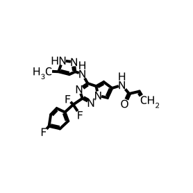 C=CC(=O)Nc1cc2c(Nc3cc(C)[nH]n3)nc(C(F)(F)c3ccc(F)cc3)nn2c1